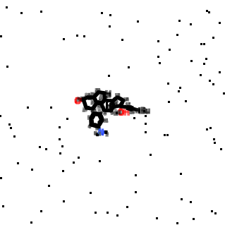 CN(C)c1cccc([C@H]2C[C@@]3(C)[C@@H](CC[C@@]3(O)C#CC(C)(C)C)[C@@H]3CCC4=CC(=O)CCC4=C32)c1